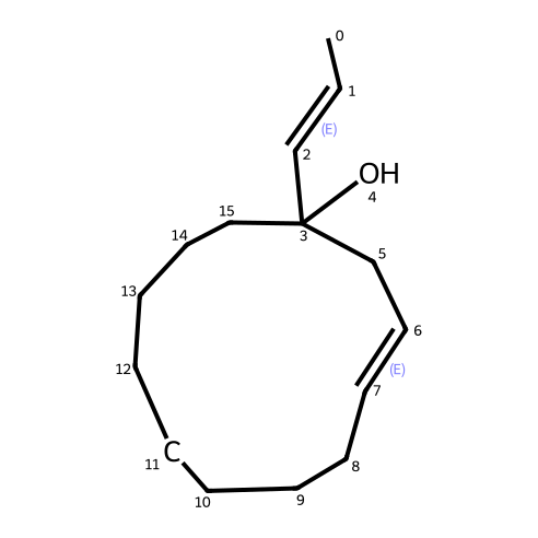 C/C=C/C1(O)C/C=C/CCCCCCCC1